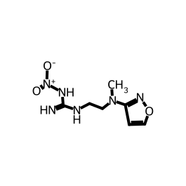 CN(CCNC(=N)N[N+](=O)[O-])c1ccon1